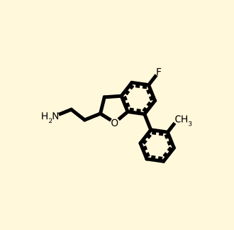 Cc1ccccc1-c1cc(F)cc2c1OC(CCN)C2